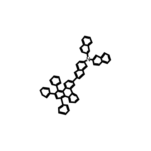 C1=CC(c2cc(-c3ccccc3)c3c4ccccc4c4cc(-c5ccc6cc(N(c7ccc8ccccc8c7)c7ccc8ccccc8c7)ccc6c5)ccc4c3c2-c2ccccc2)=CCC1